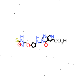 O=C(O)c1cc2c(=O)n(CNC3CCC(OCc4noc(=S)[nH]4)C3)cnc2cn1